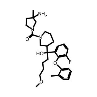 COCCCCC(O)(c1cccc(F)c1Oc1ccccc1C)C1CCCN(C(=O)N2CCC(C)(N)C2)C1